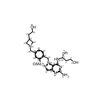 CCC[C@@H](CCO)Nc1nc(N)nc2cnn(Cc3ccc(CN4CC(CCO)C4)cc3OC)c12